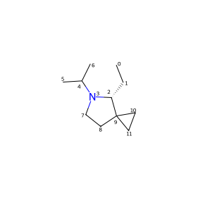 CC[C@H]1N(C(C)C)CCC12CC2